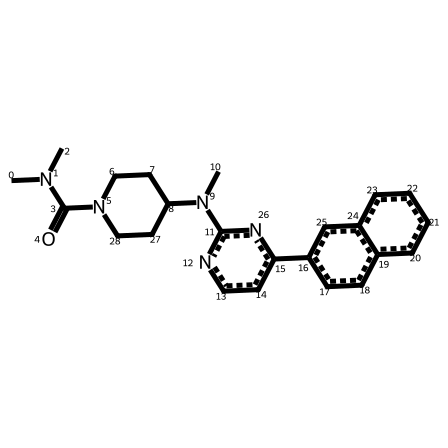 CN(C)C(=O)N1CCC(N(C)c2nccc(-c3ccc4ccccc4c3)n2)CC1